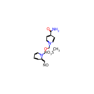 CS(=O)(=O)O.NC(=O)c1cc[n+](COCN2C=CC=C/C2=C\N=O)cc1